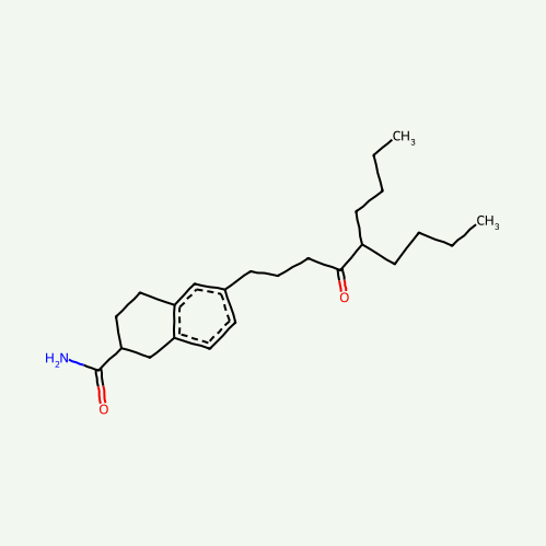 CCCCC(CCCC)C(=O)CCCc1ccc2c(c1)CCC(C(N)=O)C2